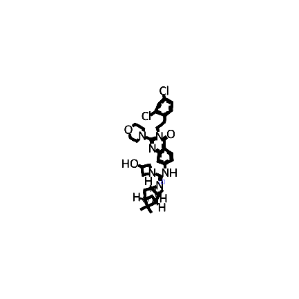 C[C@@H]1[C@@H](/N=C(/Nc2ccc3c(=O)n(CCc4ccc(Cl)cc4Cl)c(N4CCOCC4)nc3c2)N2CC(O)C2)C[C@@H]2C[C@H]1C2(C)C